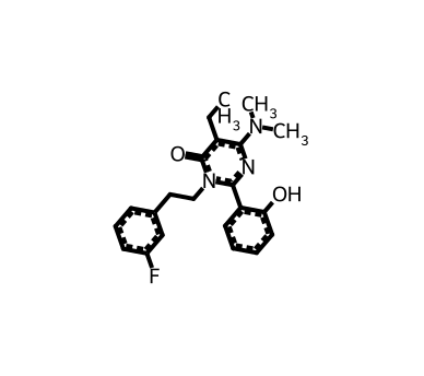 CCc1c(N(C)C)nc(-c2ccccc2O)n(CCc2cccc(F)c2)c1=O